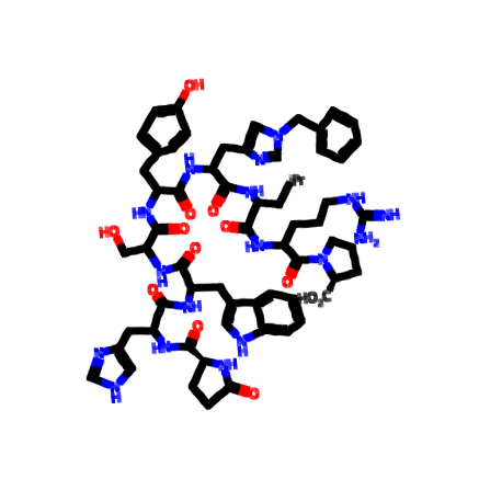 CC(C)CC(NC(=O)C(Cc1cn(Cc2ccccc2)cn1)NC(=O)C(Cc1ccc(O)cc1)NC(=O)C(CO)NC(=O)C(Cc1c[nH]c2ccccc12)NC(=O)C(Cc1c[nH]cn1)NC(=O)[C@@H]1CCC(=O)N1)C(=O)NC(CCCNC(=N)N)C(=O)N1CCC[C@H]1C(=O)O